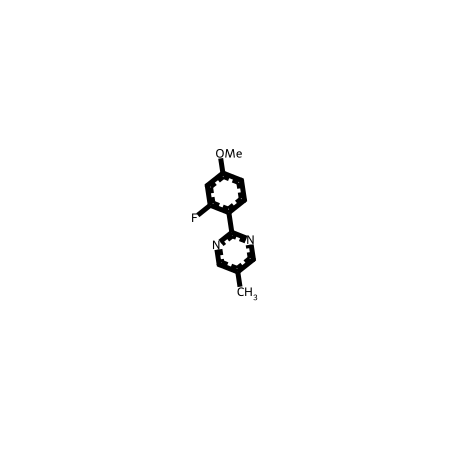 COc1ccc(-c2ncc(C)cn2)c(F)c1